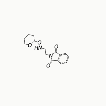 O=C1c2ccccc2C(=O)N1CCNOC1CCCCO1